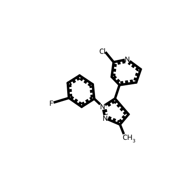 Cc1cc(-c2ccnc(Cl)c2)n(-c2cccc(F)c2)n1